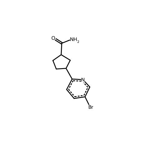 NC(=O)C1CCC(c2ccc(Br)cn2)C1